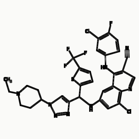 CCN1CCC(n2cc(C(Nc3cc(Cl)c4ncc(C#N)c(Nc5ccc(F)c(Cl)c5)c4c3)c3ccc(C(F)(F)F)s3)nn2)CC1